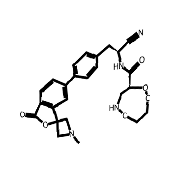 CN1CC2(C1)OC(=O)c1ccc(-c3ccc(C[C@@H](C#N)NC(=O)[C@@H]4CNCCCCO4)cc3)cc12